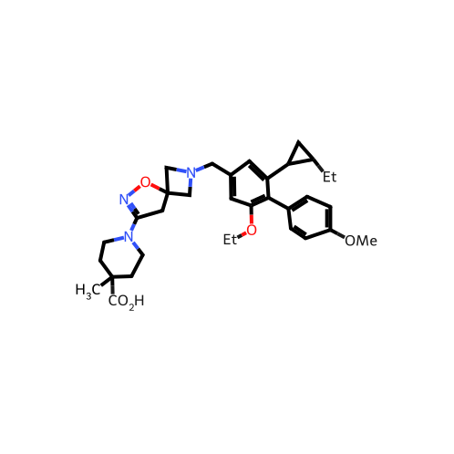 CCOc1cc(CN2CC3(CC(N4CCC(C)(C(=O)O)CC4)=NO3)C2)cc(C2CC2CC)c1-c1ccc(OC)cc1